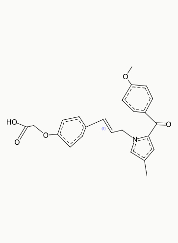 COc1ccc(C(=O)c2cc(C)cn2C/C=C/c2ccc(OCC(=O)O)cc2)cc1